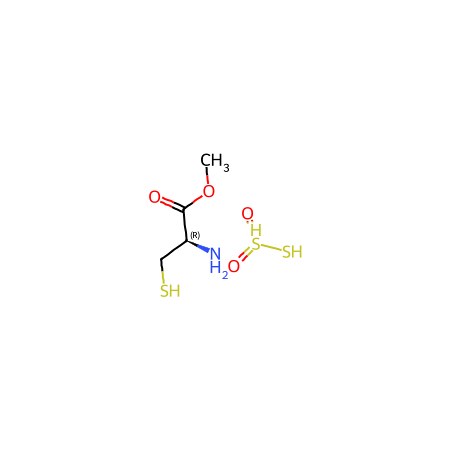 COC(=O)[C@@H](N)CS.O=[SH](=O)S